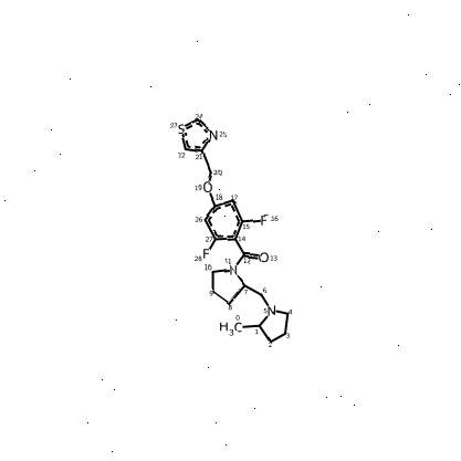 CC1CCCN1CC1CCCN1C(=O)c1c(F)cc(OCc2cscn2)cc1F